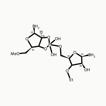 B[C@@H]1O[C@H](COP2(O)(O)OC3[C@@H](COC)O[C@@H](B)[C@H]3O2)C(OCC)[C@@H]1O